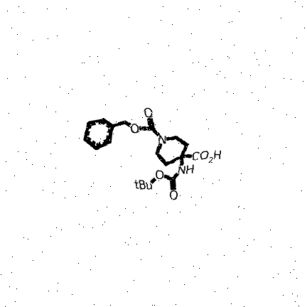 CC(C)(C)OC(=O)NC1(C(=O)O)CCN(C(=O)OCc2ccccc2)CC1